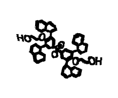 O=S(=O)(c1cc(-c2cccc3ccccc23)c(OCCO)c(-c2cccc3ccccc23)c1)c1cc(-c2cccc3ccccc23)c(OCCO)c(-c2cccc3ccccc23)c1